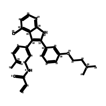 C=CC(=O)NC/C=C(\C=C/C(=C)C)c1c(-c2cccc(OCCN(C)C)c2)[nH]c2nccc(Cl)c12